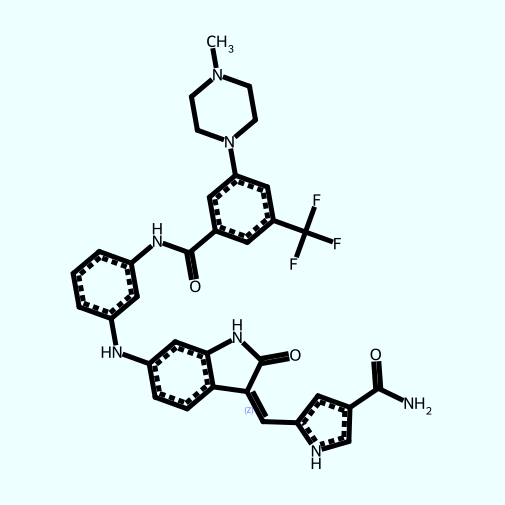 CN1CCN(c2cc(C(=O)Nc3cccc(Nc4ccc5c(c4)NC(=O)/C5=C\c4cc(C(N)=O)c[nH]4)c3)cc(C(F)(F)F)c2)CC1